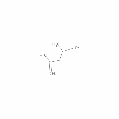 C=C(C)CC(C)C(C)C